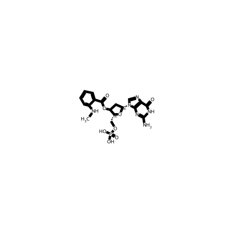 CNc1ccccc1C(=O)OC1C[C@H](n2cnc3c(=O)[nH]c(N)nc32)O[C@@H]1COP(=O)(O)O